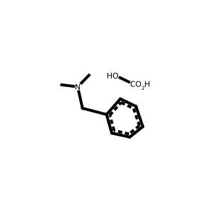 CN(C)Cc1ccccc1.O=C(O)O